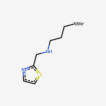 C[N]CCCNCc1nccs1